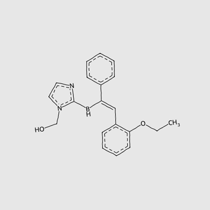 CCOc1ccccc1C=C(Bc1nccn1CO)c1ccccc1